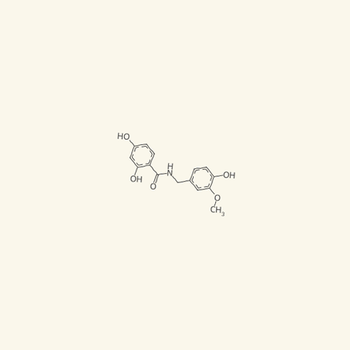 COc1cc(CNC(=O)c2ccc(O)cc2O)ccc1O